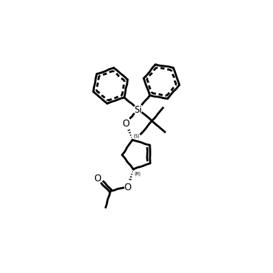 CC(=O)O[C@H]1C=C[C@@H](O[Si](c2ccccc2)(c2ccccc2)C(C)(C)C)C1